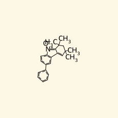 CC1(C)C=C2C(=[N+]([O-])c3ccc(-c4ccccc4)cc32)C(C)(C)C1